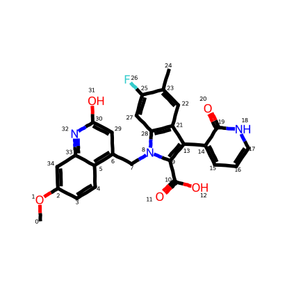 COc1ccc2c(Cn3c(C(=O)O)c(-c4ccc[nH]c4=O)c4cc(C)c(F)cc43)cc(O)nc2c1